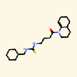 O=C(CCCNC(=S)NCC1CCCCC1)N1CCCC2CCCC=C21